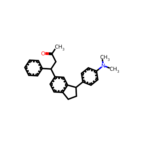 CC(=O)CC(c1ccccc1)c1ccc2c(c1)C(c1ccc(N(C)C)cc1)CC2